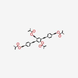 C=C(C)C(=O)OC#Cc1ccc(C#Cc2cc(OC(=O)C(=C)C)c(C#Cc3ccc(C#COC(=O)C(=C)C)cc3)cc2C#COC(=O)C(=C)C)cc1